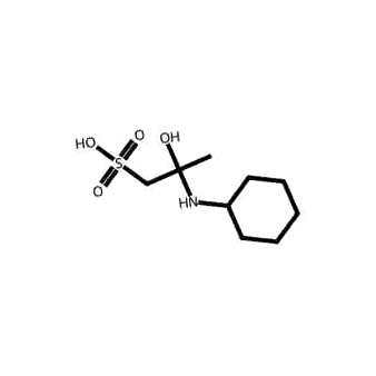 CC(O)(CS(=O)(=O)O)NC1CCCCC1